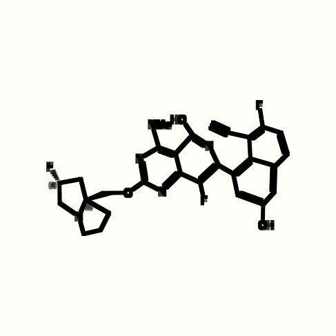 C#Cc1c(F)ccc2cc(O)cc(-c3nc(O)c4c(NC)nc(OC[C@@]56CCCN5C[C@H](F)C6)nc4c3F)c12